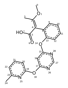 COC(C)=C(C(=O)O)c1ccccc1Oc1cc(Oc2cccc(C)n2)ncn1